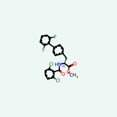 COC(=O)[C@H](Cc1ccc(-c2c(F)cccc2F)cc1)NC(=O)c1c(Cl)cccc1Cl